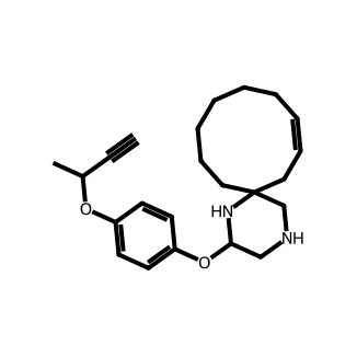 C#CC(C)Oc1ccc(OC2CNCC3(C/C=C\CCCCCC3)N2)cc1